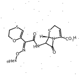 CCCCCCON=C(C(=O)NC1C(=O)N2C(C(=O)O)=CCS[C@@H]12)C1=CSCCO1